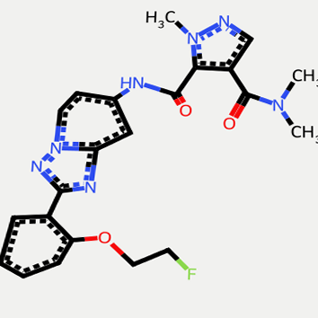 CN(C)C(=O)c1cnn(C)c1C(=O)Nc1ccn2nc(-c3ccccc3OCCF)nc2c1